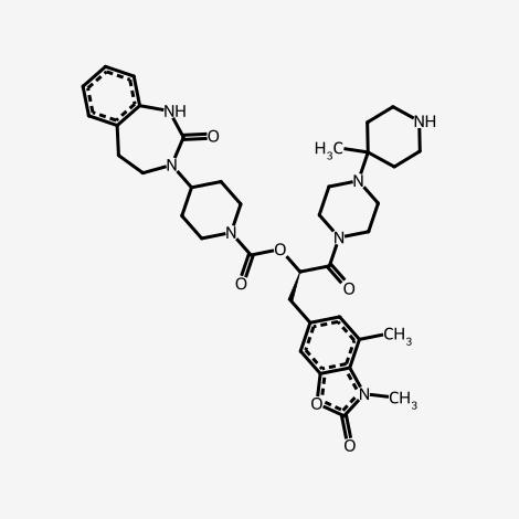 Cc1cc(C[C@@H](OC(=O)N2CCC(N3CCc4ccccc4NC3=O)CC2)C(=O)N2CCN(C3(C)CCNCC3)CC2)cc2oc(=O)n(C)c12